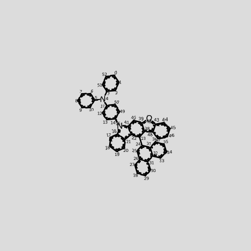 c1ccc(N(c2ccccc2)c2ccc(-n3c4ccccc4c4c(-c5cc6ccccc6c6ccccc56)c5c(cc43)oc3ccccc35)cc2)cc1